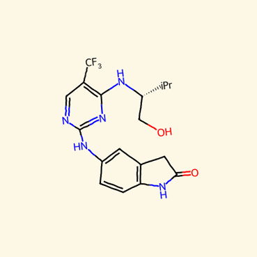 CC(C)[C@H](CO)Nc1nc(Nc2ccc3c(c2)CC(=O)N3)ncc1C(F)(F)F